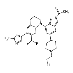 CC(=O)n1cc2cc(C3CCN(CCCl)CC3)cc(N3CCCc4cc(-c5cnn(C)c5)c(C(F)F)cc43)c2c1